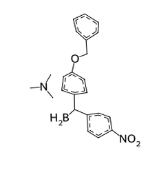 BC(c1ccc(OCc2ccccc2)cc1)c1ccc([N+](=O)[O-])cc1.CN(C)C